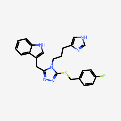 Fc1ccc(CSc2nnc(Cc3c[nH]c4ccccc34)n2CCCc2c[nH]cn2)cc1